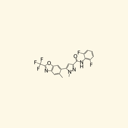 Cc1cc2nc(C(F)(F)F)oc2cc1-c1cc(C(=O)Nc2c(F)cccc2F)nn1C